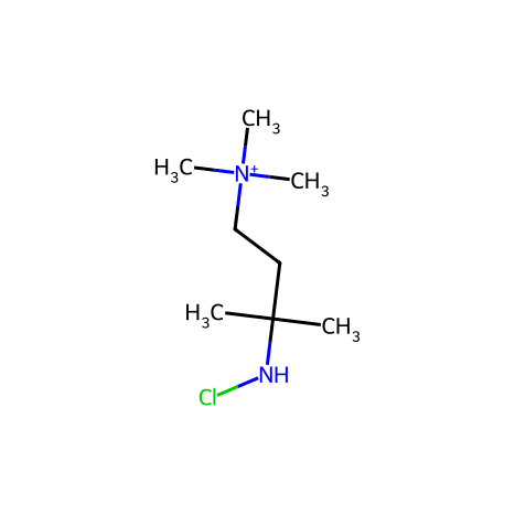 CC(C)(CC[N+](C)(C)C)NCl